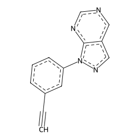 C#Cc1cccc(-n2ncc3cncnc32)c1